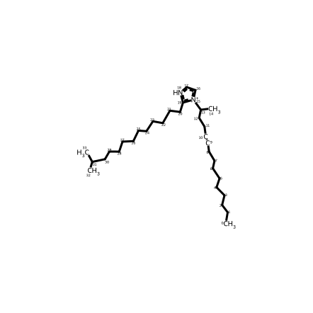 CCCCCCCCCCCCCC(C)[n+]1cc[nH]c1CCCCCCCCCCCC(C)C